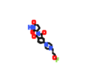 O=C1CCC(N2C(=O)c3ccc(N4CCN(CCCOF)CC4)cc3C2=O)C(=O)N1